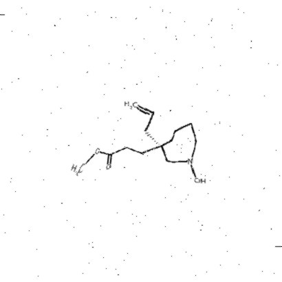 C=CC[C@]1(CCC(=O)OC)CCCN(O)C1